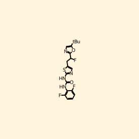 CC(C)(C)c1cnc(C(F)Cc2cnc(NC(=O)Nc3c(F)cccc3F)s2)o1